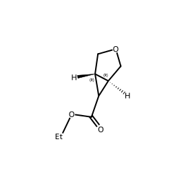 CCOC(=O)C1[C@@H]2COC[C@@H]12